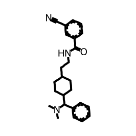 CN(C)C(c1ccccc1)C1CCC(CCNC(=O)c2cccc(C#N)c2)CC1